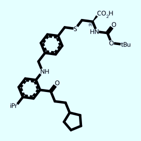 CC(C)c1ccc(NCc2ccc(CSC[C@H](NC(=O)OC(C)(C)C)C(=O)O)cc2)c(C(=O)CCC2CCCC2)c1